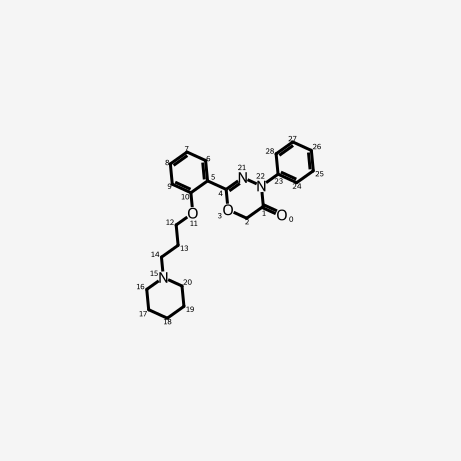 O=C1COC(c2ccccc2OCCCN2CCCCC2)=NN1c1ccccc1